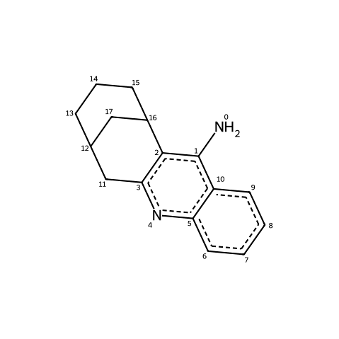 Nc1c2c(nc3ccccc13)CC1CCCC2C1